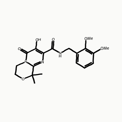 COc1cccc(CNC(=O)c2nc3n(c(=O)c2O)CCOC3(C)C)c1OC